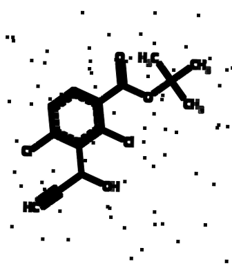 C#CC(O)c1c(Cl)ccc(C(=O)OC(C)(C)C)c1Cl